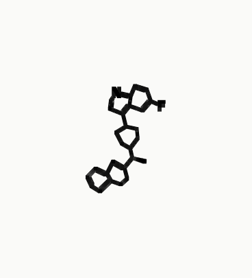 C[C@@H](C1=Cc2ccccc2CC1)C1CCC(c2ccnc3ccc(F)cc23)CC1